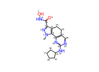 Cn1nc(C(=O)NO)c2c1-c1nc(NC3CCCC3)ncc1CC2